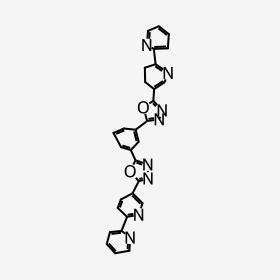 C1=C(c2nnc(-c3cccc(-c4nnc(-c5ccc(-c6ccccn6)nc5)o4)c3)o2)CCC(c2ccccn2)=N1